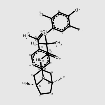 CC(C)(Oc1cc(F)c(Cl)cc1Cl)C(=O)N[C@H]1C[C@H]2CC[C@@H](C1)N2c1ccc(C(N)=O)cn1